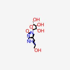 Nc1nc(=O)n([C@@H]2O[C@H](CO)[C@@H](O)[C@@H]2O)cc1/C=C/CCO